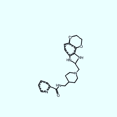 O=C(NCC1CCN(CC2Nc3ccc4c(c3N2)OCCO4)CC1)c1ccccn1